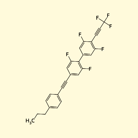 CCCc1ccc(C#Cc2cc(F)c(-c3cc(F)c(C#CC(F)(F)F)c(F)c3)c(F)c2)cc1